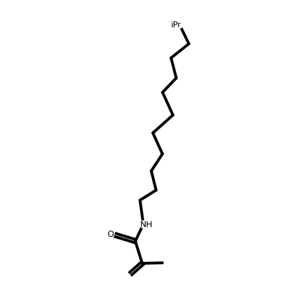 C=C(C)C(=O)NCCCCCCCCCCC(C)C